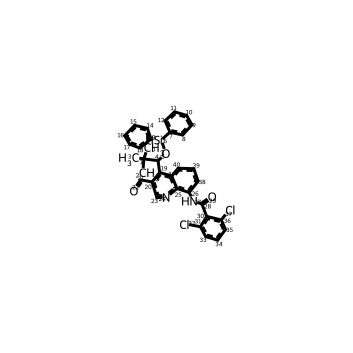 CC(C)(C)C(O[SiH](c1ccccc1)c1ccccc1)c1c(C=O)cnc2c(NC(=O)c3c(Cl)cccc3Cl)cccc12